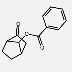 O=C(OC1C2CCC1C(=O)C2)c1ccccc1